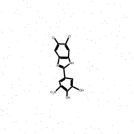 O=[N+]([O-])c1cc(-c2nc3cc(Cl)c(Cl)cc3[nH]2)cc(O)c1O